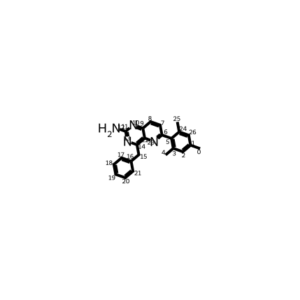 Cc1cc(C)c(-c2ccc3nc(N)nc(Cc4ccccc4)c3n2)c(C)c1